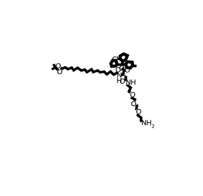 Cc1ccc(C(OC(=O)[C@H](CC(=O)NCCCOCCOCCOCCCN)NC(=O)CCCCCCCCCCCCCCCCC(=O)OC(C)(C)C)(c2ccccc2)c2ccccc2Cl)cc1